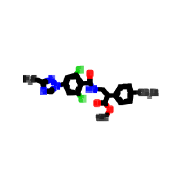 CCOC(=O)c1ccc(C(CNC(=O)c2c(Cl)cc(-n3cnc(C)n3)cc2Cl)C(=O)OC(C)(C)C)cc1